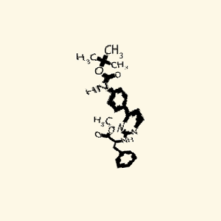 COC(=O)[C@H](Cc1ccccc1)Nc1nccc(-c2ccc(NC(=O)OC(C)(C)C)cc2)n1